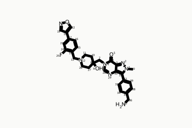 Cn1nc2c(=O)n(CC3(O)CCN(Cc4ccc(-c5cnoc5)cc4F)CC3)cnc2c1-c1ccc(CN)cc1